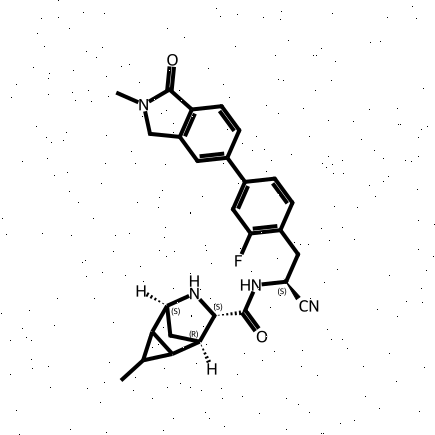 CC1C2C1[C@H]1C[C@@H]2N[C@@H]1C(=O)N[C@H](C#N)Cc1ccc(-c2ccc3c(c2)CN(C)C3=O)cc1F